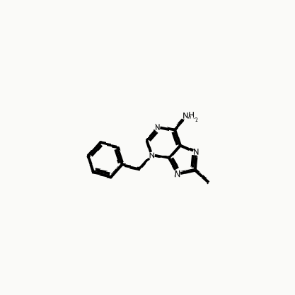 Cc1nc2c(N)ncn(Cc3ccccc3)c-2n1